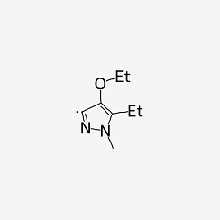 CCOc1[c]nn(C)c1CC